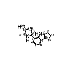 C[C@@H](NC(=O)c1cccc2c1NC1CCCC21)C(=O)O